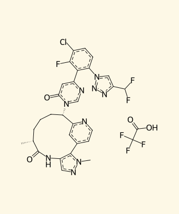 C[C@@H]1CCC[C@H](n2cnc(-c3c(-n4cc(C(F)F)nn4)ccc(Cl)c3F)cc2=O)c2cc(ccn2)-c2c(cnn2C)NC1=O.O=C(O)C(F)(F)F